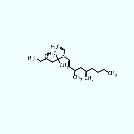 C=CN(C=CC(C)CC(=C)CCCC)C(C)(C)CNCC